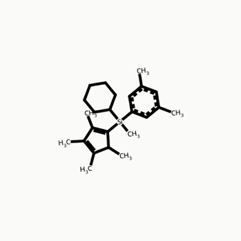 CC1=C(C)C(C)C([Si](C)(c2cc(C)cc(C)c2)C2CCCCC2)=C1C